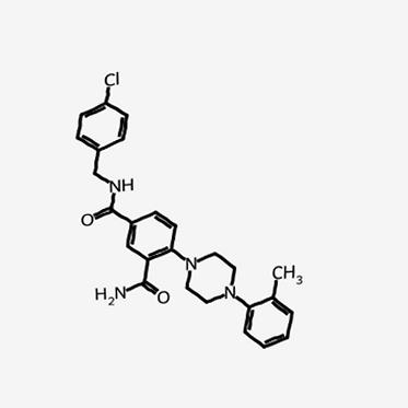 Cc1ccccc1N1CCN(c2ccc(C(=O)NCc3ccc(Cl)cc3)cc2C(N)=O)CC1